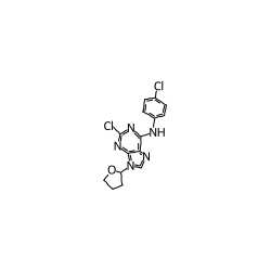 Clc1ccc(Nc2nc(Cl)nc3c2ncn3C2CCCO2)cc1